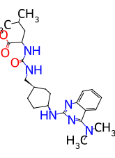 CC(C)CC(NC(=O)NC[C@H]1CC[C@@H](Nc2nc(N(C)C)c3ccccc3n2)CC1)C(=O)O